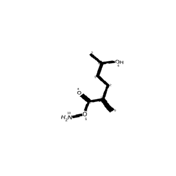 C=C(CCC(C)O)C(=O)ON